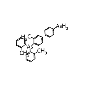 Cc1ccccc1[As](c1ccccc1C)c1ccccc1C.[AsH2]c1ccccc1